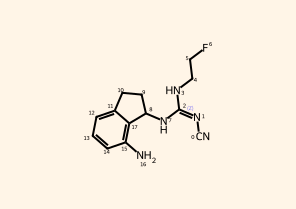 N#C/N=C(/NCCF)NC1CCc2cccc(N)c21